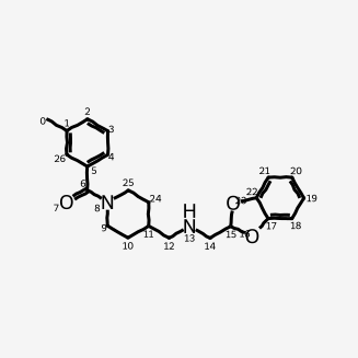 Cc1cccc(C(=O)N2CCC(CNCC3Oc4ccccc4O3)CC2)c1